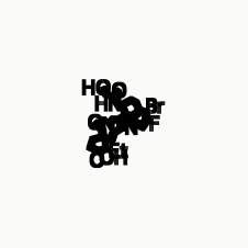 CC[C@@]1(O)C(=O)CCc2c1cc1n(c2=O)Cc2c-1nc1cc(F)c(Br)c3c1c2[C@H](NC(=O)CO)CC3